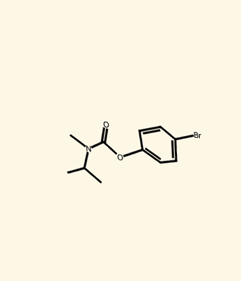 CC(C)N(C)C(=O)Oc1ccc(Br)cc1